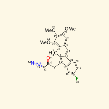 COc1cc(C=C2C(C)=C(CC(=O)C=[N+]=[N-])c3cc(F)ccc32)cc(OC)c1OC